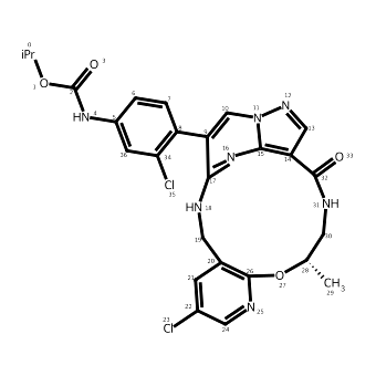 CC(C)OC(=O)Nc1ccc(-c2cn3ncc4c3nc2NCc2cc(Cl)cnc2O[C@@H](C)CNC4=O)c(Cl)c1